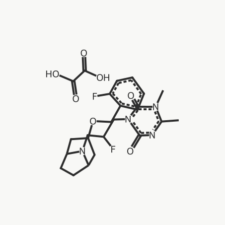 Cc1nc(=O)n(CC(F)CN2C3CCC2CC(OCc2ccccc2F)C3)c(=O)n1C.O=C(O)C(=O)O